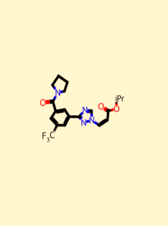 CC(C)OC(=O)/C=C\n1cnc(-c2cc(C(=O)N3CCCC3)cc(C(F)(F)F)c2)n1